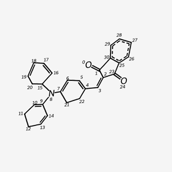 O=C1C(=CC2=CC=C(N(C3=CCCC=C3)C3C=CC=CC3)CC2)C(=O)c2ccccc21